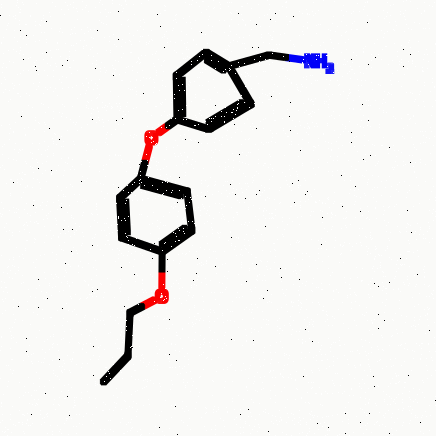 CCCOc1ccc(Oc2ccc(CN)cc2)cc1